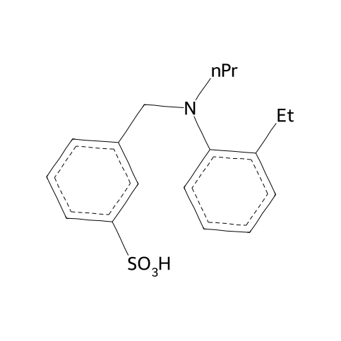 CCCN(Cc1cccc(S(=O)(=O)O)c1)c1ccccc1CC